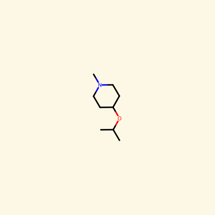 CC(C)OC1CCN(C)CC1